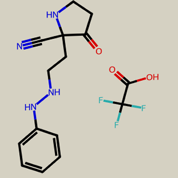 N#CC1(CCNNc2ccccc2)NCCC1=O.O=C(O)C(F)(F)F